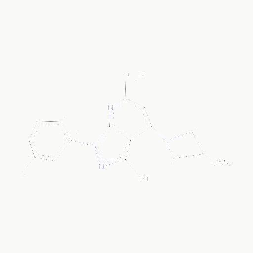 COC1CN(c2cc(C(=O)O)nc3c2c(C(C)C)nn3-c2cccc(C)c2)C1